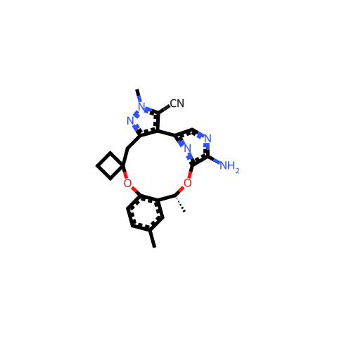 Cc1ccc2c(c1)[C@@H](C)Oc1nc(cnc1N)-c1c(nn(C)c1C#N)CC1(CCC1)O2